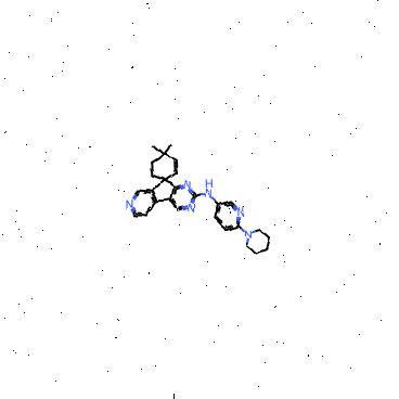 CC1(C)C=CC2(CC1)c1cnccc1-c1cnc(Nc3ccc(N4CCCCC4)nc3)nc12